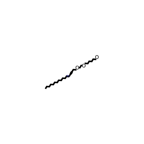 CCCCCCCCCCC/C=C/C#CCCOCCOCCCCCC=O